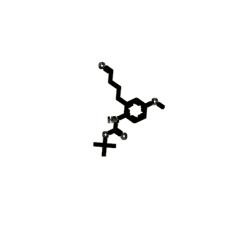 COc1ccc(NC(=O)OC(C)(C)C)c(CCCC=O)c1